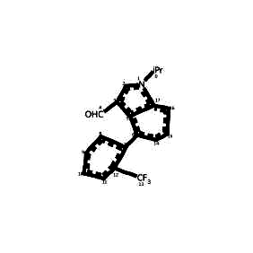 CC(C)n1cc(C=O)c2c(-c3ccccc3C(F)(F)F)cccc21